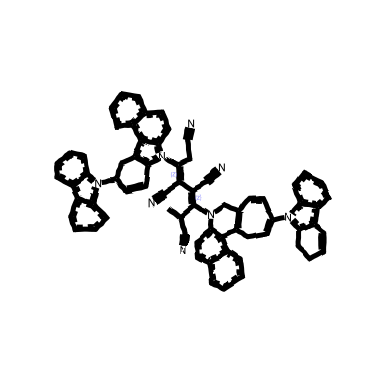 CC(C#N)/C(=C(C#N)\C(C#N)=C(/CC#N)n1c2c(c3c4ccccc4ccc31)CC(n1c3ccccc3c3ccccc31)C=C2)N1CC2=C(CC=C(n3c4c(c5ccccc53)C=CCC4)C=C2)c2c1ccc1ccccc21